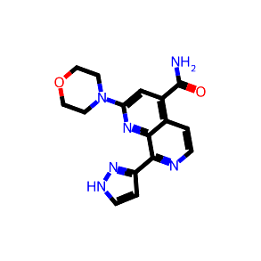 NC(=O)c1cc(N2CCOCC2)nc2c(-c3cc[nH]n3)nccc12